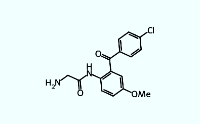 COc1ccc(NC(=O)CN)c(C(=O)c2ccc(Cl)cc2)c1